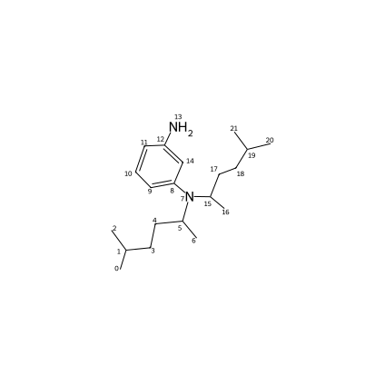 CC(C)CCC(C)N(c1cccc(N)c1)C(C)CCC(C)C